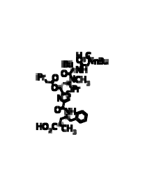 CCCCN(C)CC(=O)N[C@H](C(=O)N(C)[C@H](C[C@@H](OC(=O)CC(C)C)c1nc(C(=O)N[C@@H](Cc2ccccc2)C[C@H](C)C(=O)O)cs1)C(C)C)[C@@H](C)CC